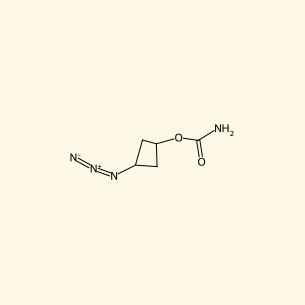 [N-]=[N+]=NC1CC(OC(N)=O)C1